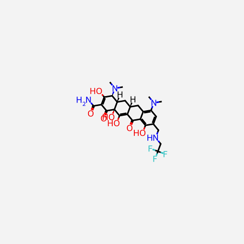 CN(C)c1cc(CNCC(F)(F)F)c(O)c2c1C[C@H]1C[C@H]3[C@H](N(C)C)C(O)=C(C(N)=O)C(=O)[C@@]3(O)C(O)=C1C2=O